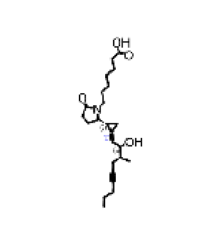 CCCC#CCC(C)[C@H](O)/C=C1\C[C@@H]1C1CCC(=O)N1CCCCCCC(=O)O